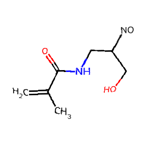 C=C(C)C(=O)NCC(CO)N=O